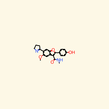 CNC(=O)c1c(-c2ccc(O)cc2)oc2cc(C3=NCCC3)c(OC)cc12